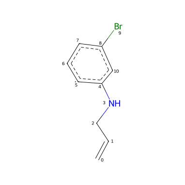 C=CCNc1[c]ccc(Br)c1